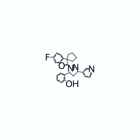 O=C(N1N=C(c2cccnc2)CC1c1ccccc1O)C1(c2ccc(F)cc2)CCCC1